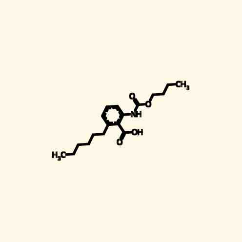 CCCCCCc1cccc(NC(=O)OCCCC)c1C(=O)O